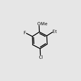 CCc1cc(Cl)cc(F)c1OC